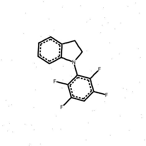 Fc1cc(F)c(F)c(N2CCc3ccccc32)c1F